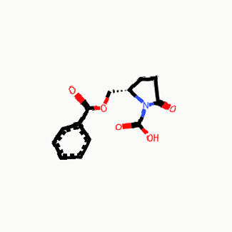 O=C(OC[C@@H]1CCC(=O)N1C(=O)O)c1ccccc1